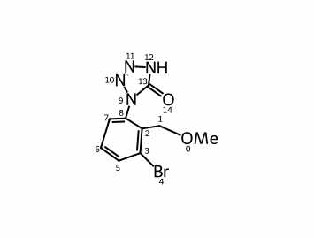 COCc1c(Br)cccc1-n1nn[nH]c1=O